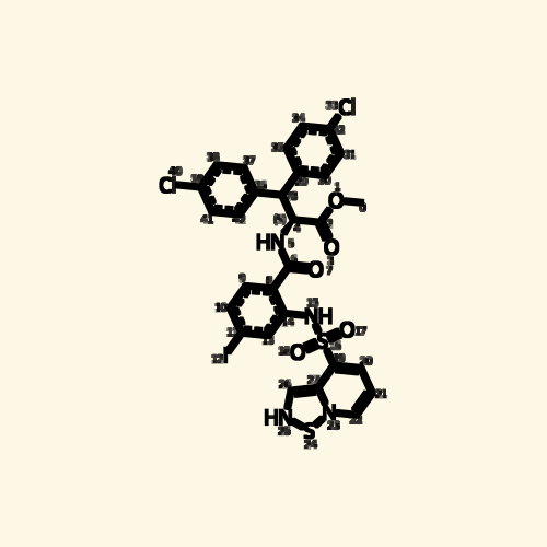 COC(=O)[C@@H](NC(=O)c1ccc(I)cc1NS(=O)(=O)C1=CC=CN2SNC=C12)C(c1ccc(Cl)cc1)c1ccc(Cl)cc1